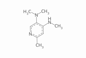 CNc1cc(C)ncc1N(C)C